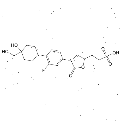 O=C1OC(CCS(=O)(=O)O)CN1c1ccc(N2CCC(O)(CO)CC2)c(F)c1